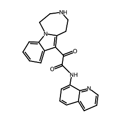 O=C(Nc1cccc2cccnc12)C(=O)c1c2n(c3ccccc13)CCNCC2